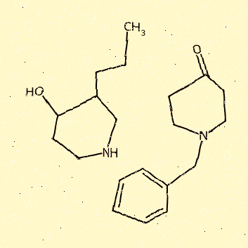 CCCC1CNCCC1O.O=C1CCN(Cc2ccccc2)CC1